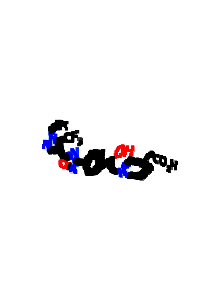 CC(C)Cn1ncc(-c2nc(-c3ccc([C@H](O)CN4CCC[C@H](CC(=O)O)C4)cc3)no2)c1C(F)(F)F